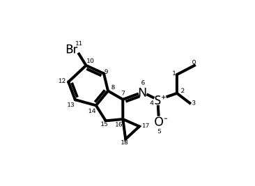 CCC(C)[S+]([O-])N=C1c2cc(Br)ccc2CC12CC2